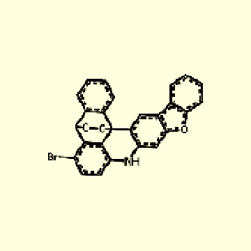 Brc1ccc2c3c1C1CCC3(c3cc4c(cc3N2)oc2ccccc24)c2ccccc21